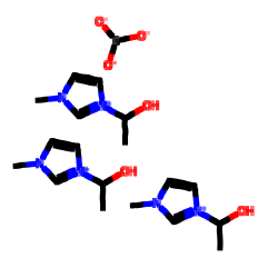 CC(O)[n+]1ccn(C)c1.CC(O)[n+]1ccn(C)c1.CC(O)[n+]1ccn(C)c1.[O-]B([O-])[O-]